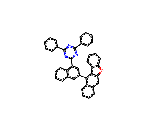 c1ccc(-c2nc(-c3ccccc3)nc(-c3cc(-c4c5ccccc5cc5oc6ccccc6c45)cc4ccccc34)n2)cc1